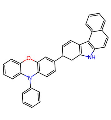 C1=CC(c2ccc3c(c2)Oc2ccccc2N3c2ccccc2)Cc2[nH]c3ccc4ccccc4c3c21